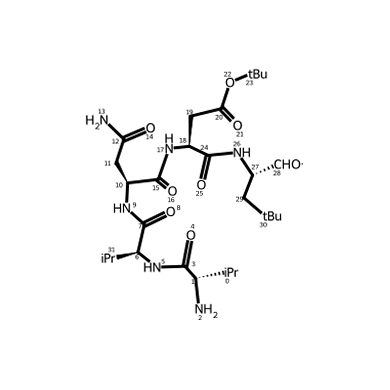 CC(C)[C@H](N)C(=O)N[C@H](C(=O)N[C@@H](CC(N)=O)C(=O)N[C@@H](CC(=O)OC(C)(C)C)C(=O)N[C@H]([C]=O)CC(C)(C)C)C(C)C